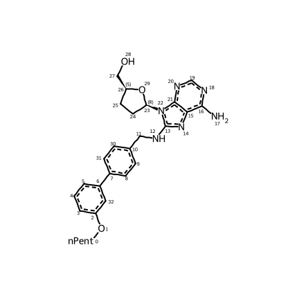 CCCCCOc1cccc(-c2ccc(CNc3nc4c(N)ncnc4n3[C@H]3CC[C@@H](CO)O3)cc2)c1